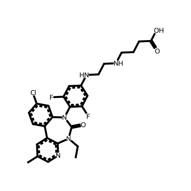 CCN1C(=O)N(c2c(F)cc(NCCNCCCC(=O)O)cc2F)c2cc(Cl)ccc2-c2cc(C)cnc21